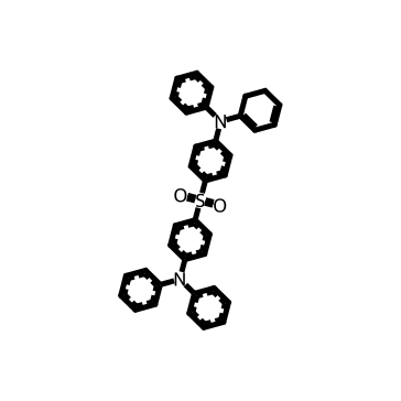 O=S(=O)(c1ccc(N(C2=CC=CCC2)c2ccccc2)cc1)c1ccc(N(c2ccccc2)c2ccccc2)cc1